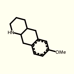 COc1ccc2c(c1)CC1CCCNC1C2